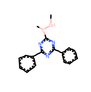 CBB(C)c1nc(-c2ccccc2)nc(-c2ccccc2)n1